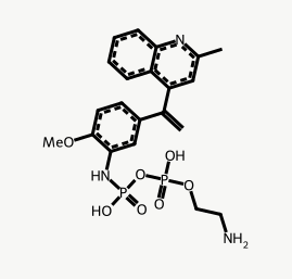 C=C(c1ccc(OC)c(NP(=O)(O)OP(=O)(O)OCCN)c1)c1cc(C)nc2ccccc12